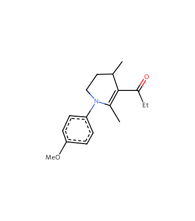 CCC(=O)C1=C(C)N(c2ccc(OC)cc2)CCC1C